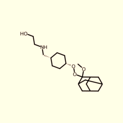 COC1(OO[C@H]2CC[C@@H](CNCCO)CC2)C2CC3CC(C2)CC1C3